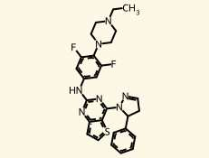 CCN1CCN(c2c(F)cc(Nc3nc(N4N=CCC4c4ccccc4)c4sccc4n3)cc2F)CC1